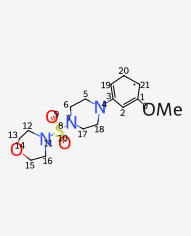 COC1=CC(N2CCN(S(=O)(=O)N3CCOCC3)CC2)=CC[CH]1